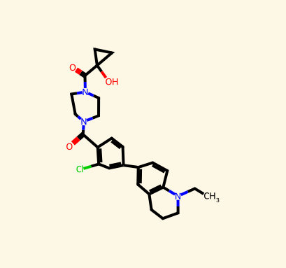 CCN1CCCc2cc(-c3ccc(C(=O)N4CCN(C(=O)C5(O)CC5)CC4)c(Cl)c3)ccc21